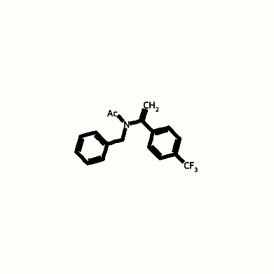 C=C(c1ccc(C(F)(F)F)cc1)N(Cc1ccccc1)C(C)=O